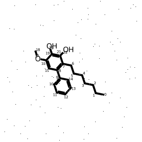 CCCCCCCc1c(-c2ccccc2)cc(OC)c(O)c1O